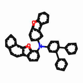 c1ccc(-c2ccc(N(c3ccc4oc5ccccc5c4c3)c3cccc4c3oc3c5ccccc5ccc43)cc2-c2ccccc2)cc1